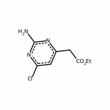 CCOC(=O)Cc1cc(Cl)nc(N)n1